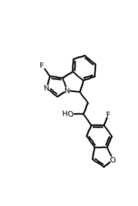 OC(CC1c2ccccc2-c2c(F)ncn21)c1cc2ccoc2cc1F